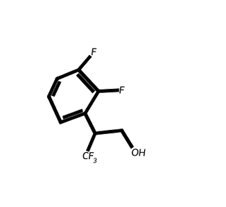 OCC(c1cccc(F)c1F)C(F)(F)F